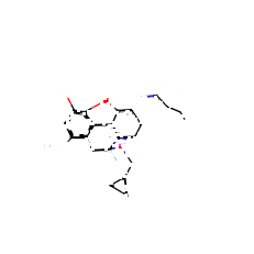 COc1cc(O)c2c3c1C[C@@H]1[C@@H]4CC[C@@H](N[C@@H](CCC(=O)O)C(=O)O)[C@H](O2)[C@]34CCN1CC1CC1.Cl.Cl